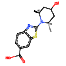 C[C@H]1CC(O)C[C@H](C)N1c1nc2ccc(C(=O)O)cc2s1